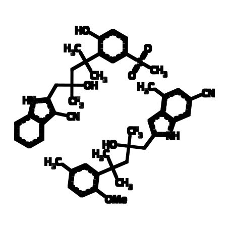 CC(C)(CC(O)(Cc1[nH]c2ccccc2c1C#N)C(F)(F)F)c1cc(S(C)(=O)=O)ccc1O.COc1ccc(C)cc1C(C)(C)CC(O)(Cc1cc2c(C)cc(C#N)cc2[nH]1)C(F)(F)F